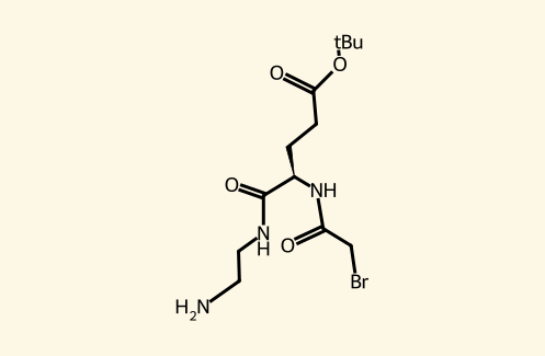 CC(C)(C)OC(=O)CC[C@@H](NC(=O)CBr)C(=O)NCCN